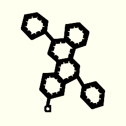 Clc1ccc2c(c1)c(-c1ccccc1)cc1c3ccccc3c(-c3ccccc3)cc21